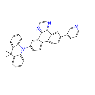 CC1(C)c2ccccc2N(c2ccc3c4ccc(-c5cccnc5)cc4c4nccnc4c3c2)c2ccccc21